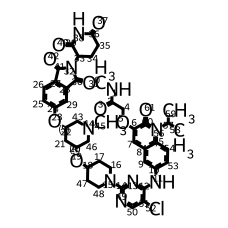 CNC(=O)COc1cc2cc(Nc3nc(N4CCC(O[C@@H]5C[C@H](Oc6ccc7c(c6)C(=O)N(C6CCC(=O)NC6=O)C7=O)CN(C)C5)CC4)ncc3Cl)ccc2n(C(C)C)c1=O